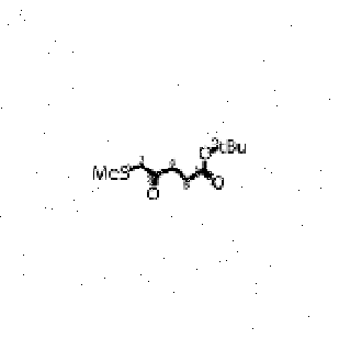 CSCC(=O)CCC(=O)OC(C)(C)C